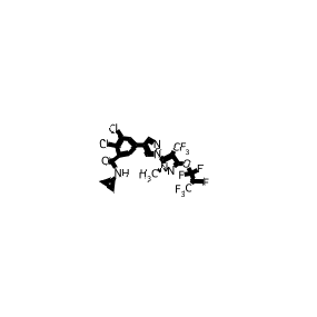 Cn1nc(OC(F)(F)C(F)C(F)(F)F)c(C(F)(F)F)c1-n1cc(-c2cc(Cl)c(Cl)c(C(=O)NC3CC3)c2)cn1